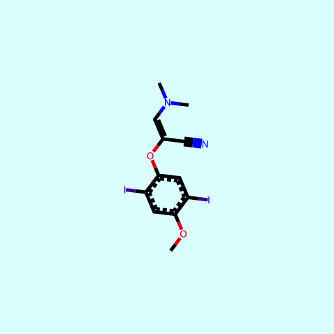 COc1cc(I)c(O/C(C#N)=C/N(C)C)cc1I